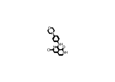 O=c1[nH]ccc2cc(Cl)nc(Nc3ccc(N4CCOCC4)cc3)c12